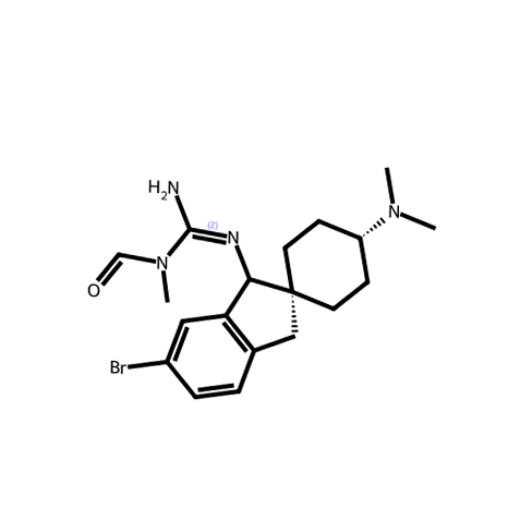 CN(C=O)/C(N)=N\C1c2cc(Br)ccc2C[C@]12CC[C@@H](N(C)C)CC2